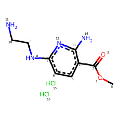 COC(=O)c1ccc(NCCN)nc1N.Cl.Cl